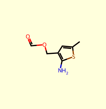 Cc1cc(COC=O)c(N)s1